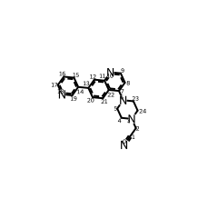 N#CCN1CCN(c2ccnc3cc(-c4cccnc4)ccc23)CC1